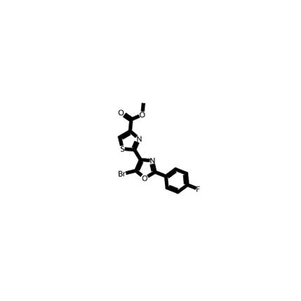 COC(=O)c1csc(-c2nc(-c3ccc(F)cc3)oc2Br)n1